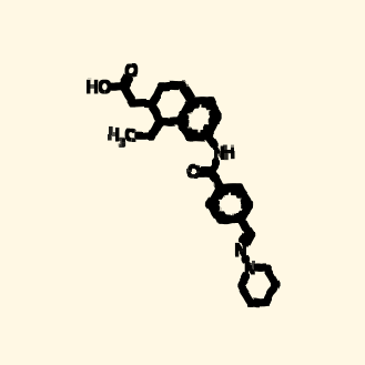 CCC1c2cc(NC(=O)c3ccc(C=NN4CCCCC4)cc3)ccc2CCC1CC(=O)O